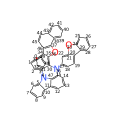 c1ccc(-n2c3ccccc3c3cccc(N(c4ccc5c(c4)oc4ccccc45)c4cccc5c4oc4c6ccccc6ccc54)c32)cc1